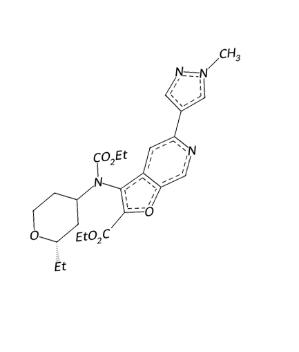 CCOC(=O)c1oc2cnc(-c3cnn(C)c3)cc2c1N(C(=O)OCC)C1CCO[C@@H](CC)C1